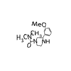 COc1cccc(C2CN(C(=O)N(C)C)CCN2)c1